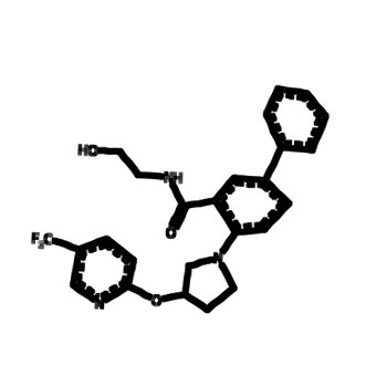 O=C(NCCO)c1cc(-c2ccccc2)ccc1N1CCC(Oc2ccc(C(F)(F)F)cn2)C1